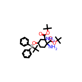 CC(C)(C)OC(=O)C1(N)CCC(O[Si](c2ccccc2)(c2ccccc2)C(C)(C)C)CC1(N)C(=O)OC(C)(C)C